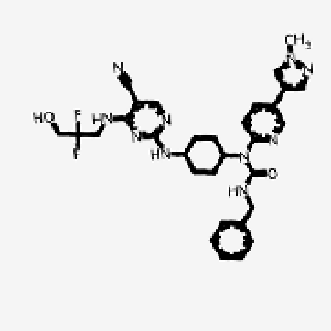 Cn1cc(-c2ccc(N(C(=O)NCc3ccccc3)C3CCC(Nc4ncc(C#N)c(NCC(F)(F)CO)n4)CC3)nc2)cn1